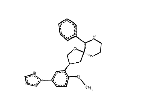 COc1ccc(-n2cncn2)cc1[C@H]1CO[C@]2(CCCNC2c2ccccc2)C1